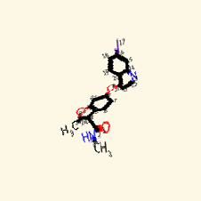 CNC(=O)C1c2ccc(Oc3ccnc4cc(I)ccc34)cc2OC1C